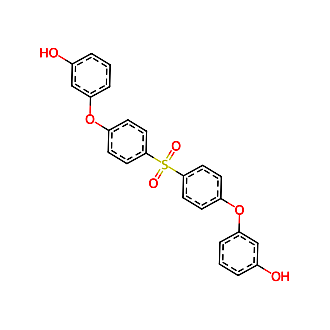 O=S(=O)(c1ccc(Oc2cccc(O)c2)cc1)c1ccc(Oc2cccc(O)c2)cc1